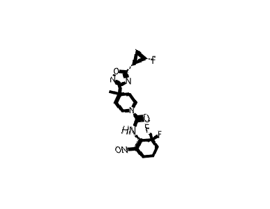 CC1(c2noc([C@@H]3C[C@@H]3F)n2)CCN(C(=O)N[C@@H]2C(N=O)CCCC2(F)F)CC1